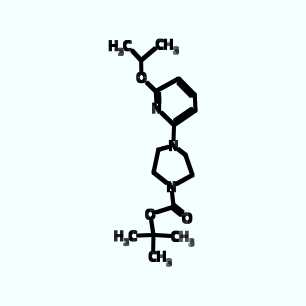 CC(C)Oc1cccc(N2CCN(C(=O)OC(C)(C)C)CC2)n1